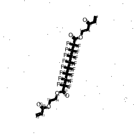 C=CC(=O)CCOC(=O)C(F)(F)C(F)(F)C(F)(F)C(F)(F)C(F)(F)C(F)(F)C(F)(F)C(F)(F)C(=O)OCCOC(=O)C=C